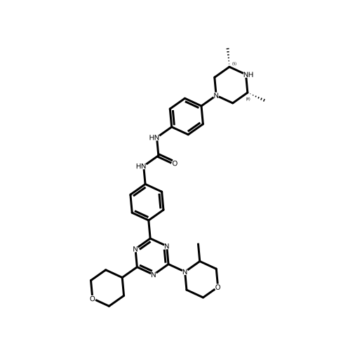 CC1COCCN1c1nc(-c2ccc(NC(=O)Nc3ccc(N4C[C@@H](C)N[C@@H](C)C4)cc3)cc2)nc(C2CCOCC2)n1